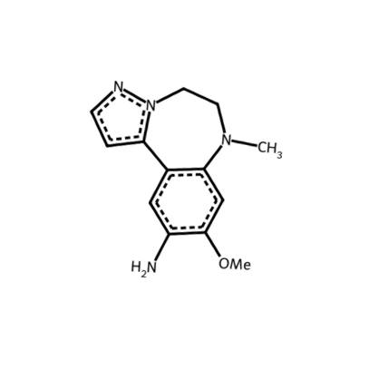 COc1cc2c(cc1N)-c1ccnn1CCN2C